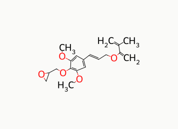 C=C(C)C(=C)OC/C=C/c1cc(OC)c(OCC2CO2)c(OC)c1